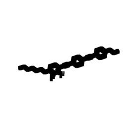 CCCCCCCc1ccc(C#Cc2ccc(C#Cc3ccc(CCC)cc3)cc2)c(F)c1F